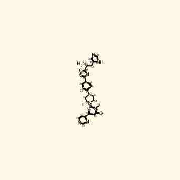 C[C@@H]1CN(c2ccc(-c3noc([C@@H](N)Cc4cnc[nH]4)n3)cc2)CCN1c1nc(-c2ccncn2)cc(=O)n1C